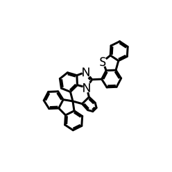 c1ccc2c(c1)-c1ccccc1C21c2ccccc2-n2c(-c3cccc4c3sc3ccccc34)nc3cccc1c32